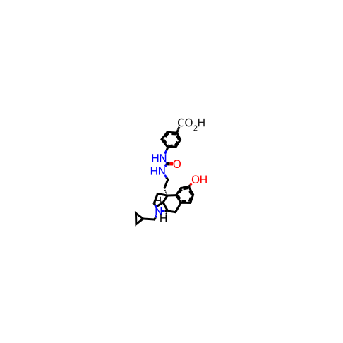 C[C@H]1[C@H]2Cc3ccc(O)cc3[C@]1(CCNC(=O)Nc1ccc(C(=O)O)cc1)CCN2CC1CC1